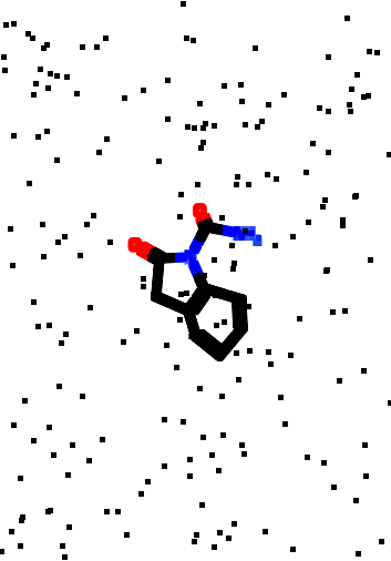 NC(=O)N1C(=O)Cc2[c]cccc21